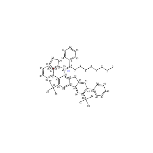 CCCCCCCC/[C](c1ccccc1)=[Zr](/[C]1=CC=CC1)[c]1c2c(cc(C(C)(C)C)c1-c1ccccc1)-c1cc(C(C)(C)C)c(-c3ccccc3)cc1C2